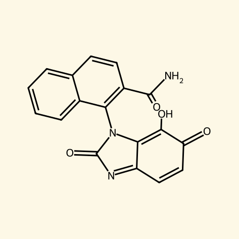 NC(=O)c1ccc2ccccc2c1N1C(=O)N=C2C=CC(=O)C(O)=C21